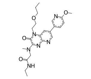 CCCOCCn1c(=O)c(N(C)CC(=O)NCC)nc2ncc(-c3ccc(OC)nc3)cc21